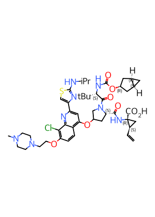 C=C[C@@H]1C[C@]1(NC(=O)[C@@H]1CC(Oc2cc(-c3csc(NC(C)C)n3)nc3c(Cl)c(OCCN4CCN(C)CC4)ccc23)CN1C(=O)[C@@H](NC(=O)O[C@@H]1C[C@@H]2C[C@@H]2C1)C(C)(C)C)C(=O)O